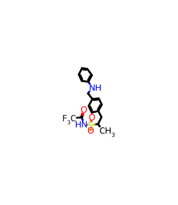 CC(Cc1ccc(CNc2ccccc2)cc1)S(=O)(=O)NC(=O)C(F)(F)F